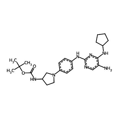 CC(C)(C)OC(=O)NC1CCN(c2ccc(Nc3ncc(N)c(NC4CCCC4)n3)cc2)C1